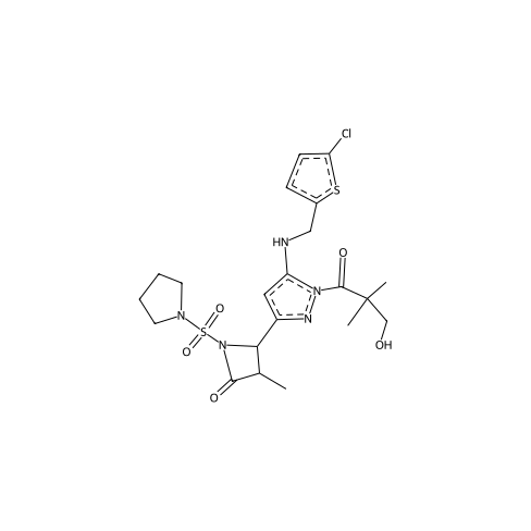 CC1C(=O)N(S(=O)(=O)N2CCCC2)C1c1cc(NCc2ccc(Cl)s2)n(C(=O)C(C)(C)CO)n1